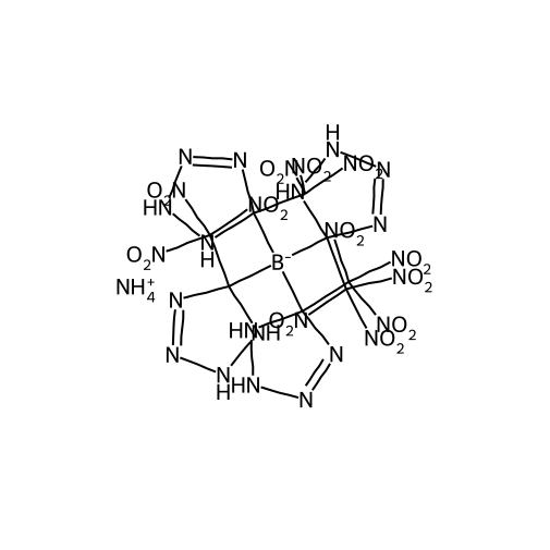 O=[N+]([O-])C([N+](=O)[O-])([N+](=O)[O-])C1([B-](C2(C([N+](=O)[O-])([N+](=O)[O-])[N+](=O)[O-])N=NNN2)(C2(C([N+](=O)[O-])([N+](=O)[O-])[N+](=O)[O-])N=NNN2)C2(C([N+](=O)[O-])([N+](=O)[O-])[N+](=O)[O-])N=NNN2)N=NNN1.[NH4+]